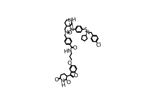 O=C1CCC(c2coc3ccc(OCCCNC(=O)c4ccc(CN(CC5CCNCC5)ONc5ccc(SN(Cc6ccc(Cl)cc6)C6CCCC6)cc5)cc4)cc23)C(=O)N1